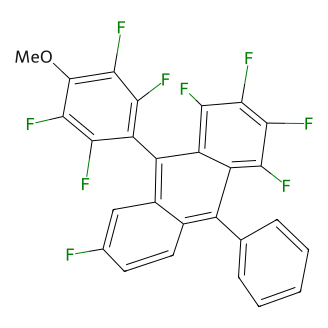 COc1c(F)c(F)c(-c2c3cc(F)ccc3c(-c3ccccc3)c3c(F)c(F)c(F)c(F)c23)c(F)c1F